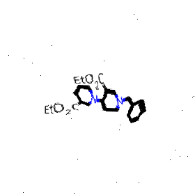 CCOC(=O)C1CCCN(C2CCN(Cc3ccccc3)CC2C(=O)OCC)C1